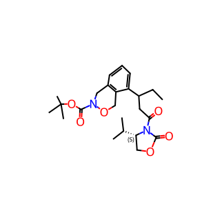 CCC(CC(=O)N1C(=O)OC[C@@H]1C(C)C)c1cccc2c1CON(C(=O)OC(C)(C)C)C2